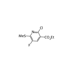 CCOC(=O)c1cc(F)c(SC)nc1Cl